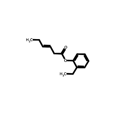 CCC=CCC(=O)Oc1ccccc1CC